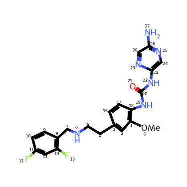 COc1cc(CCNCc2ccc(F)cc2F)ccc1NC(=O)Nc1cnc(N)cn1